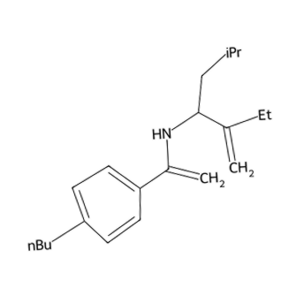 C=C(NC(CC(C)C)C(=C)CC)c1ccc(CCCC)cc1